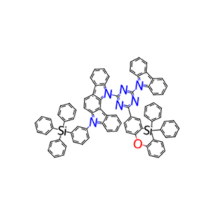 c1ccc([Si](c2ccccc2)(c2ccccc2)c2cccc(-n3c4ccccc4c4c3ccc3c5ccccc5n(-c5nc(-c6ccc7c(c6)[Si](c6ccccc6)(c6ccccc6)c6ccccc6O7)nc(-n6c7ccccc7c7ccccc76)n5)c34)c2)cc1